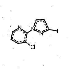 Clc1cccnc1-n1ccc(I)n1